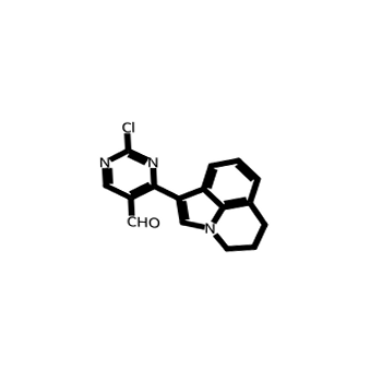 O=Cc1cnc(Cl)nc1-c1cn2c3c(cccc13)CCC2